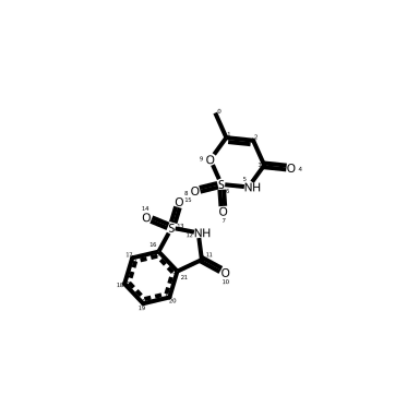 CC1=CC(=O)NS(=O)(=O)O1.O=C1NS(=O)(=O)c2ccccc21